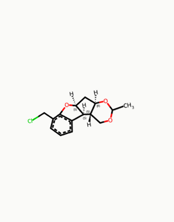 CC1OC[C@@H]2[C@H]3c4cccc(CCl)c4O[C@H]3C[C@H]2O1